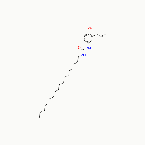 C=CCc1cc(NC(=O)NCCCCCCCCCCCCCCCCCC)ccc1O